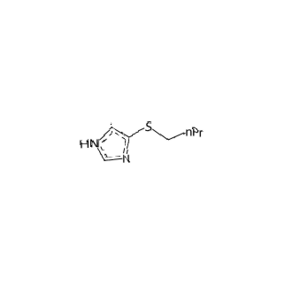 CCCCSc1[c][nH]cn1